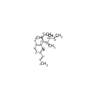 CC=Cc1ccc(CC)c(C(/C=C\C)=C(\C)C(C)CC)n1